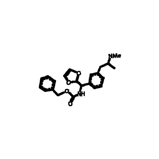 CNC(C)Cc1cccc(C(NC(=O)OCc2ccccc2)C2OC=CO2)c1